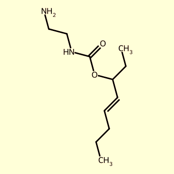 CCC/C=C/C(CC)OC(=O)NCCN